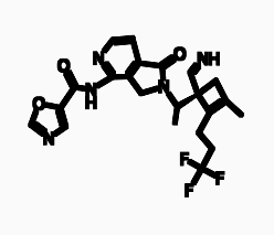 CC1=C(CCC(F)(F)F)[C@@](C=N)(C(C)N2Cc3c(ccnc3NC(=O)c3cnco3)C2=O)C1